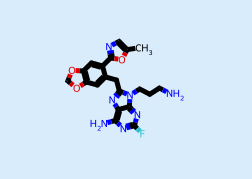 Cc1cnc(-c2cc3c(cc2Cc2nc4c(N)nc(F)nc4n2CCCN)OCO3)o1